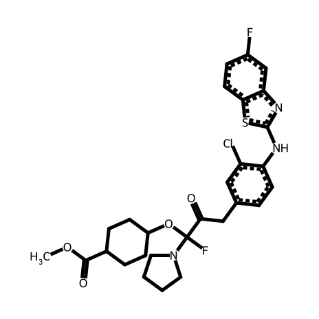 COC(=O)C1CCC(OC(F)(C(=O)Cc2ccc(Nc3nc4cc(F)ccc4s3)c(Cl)c2)N2CCCC2)CC1